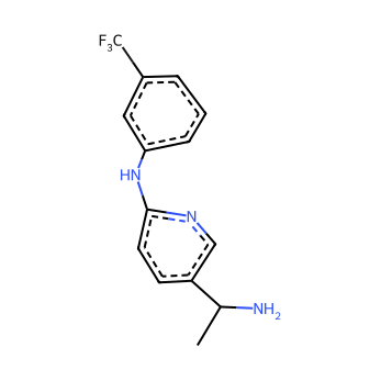 CC(N)c1ccc(Nc2cccc(C(F)(F)F)c2)nc1